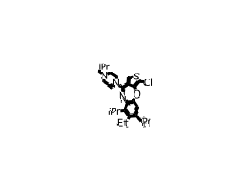 CCc1c(C(C)C)cc2c(c1C(C)C)N=C(N1CCN(CC(C)C)CC1)c1csc(Cl)c1O2